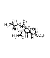 CC(O)[C@@H](N)CNN(C)C(=O)[C@@H](CC(N)=O)NC(=O)N[C@H](CO)C(=O)O